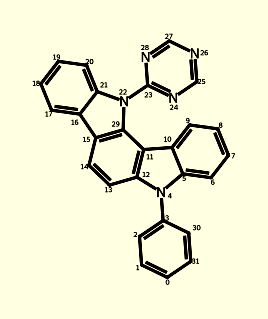 c1ccc(-n2c3ccccc3c3c2ccc2c4ccccc4n(-c4ncncn4)c23)cc1